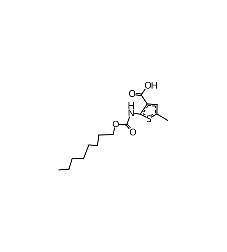 CCCCCCCCOC(=O)Nc1sc(C)cc1C(=O)O